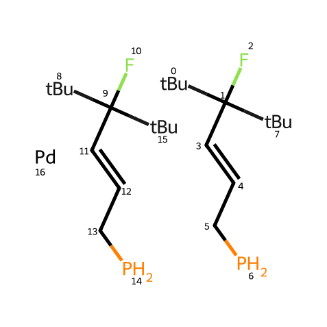 CC(C)(C)C(F)(C=CCP)C(C)(C)C.CC(C)(C)C(F)(C=CCP)C(C)(C)C.[Pd]